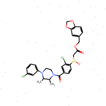 CC1C(C)N(c2cccc(Cl)c2)CCN1C(=O)c1ccc([S+]([O-])CC(=O)OCc2ccc3c(c2)OCO3)c(Cl)c1